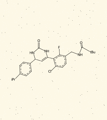 CC(C)c1ccc(C2C=C(c3c(Cl)ccc(CNC(=O)C(C)(C)C)c3F)NC(=O)N2)cc1